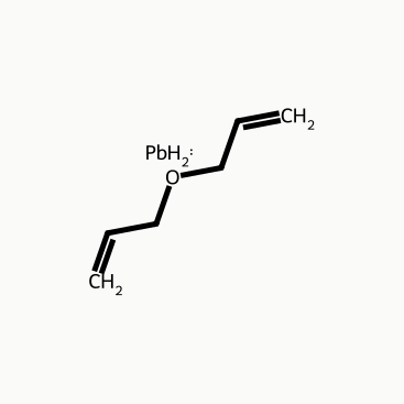 C=CCOCC=C.[PbH2]